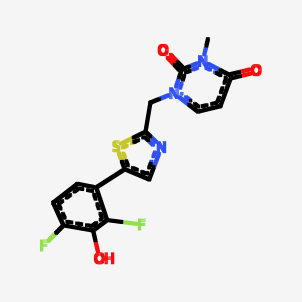 Cn1c(=O)ccn(Cc2ncc(-c3ccc(F)c(O)c3F)s2)c1=O